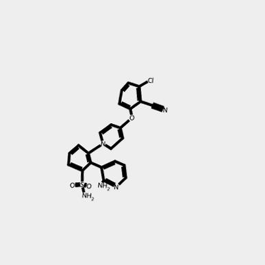 N#Cc1c(Cl)cccc1OC1=CCN(c2cccc(S(N)(=O)=O)c2-c2cccnc2N)C=C1